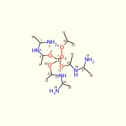 CC(N)NC(C)[O][Ti]([O]OC(C)C)([O]C(C)NC(C)N)[O]C(C)NC(C)N